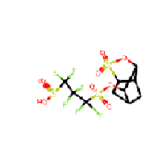 O=S1(=O)OC2C3CC(CC31)C2OS(=O)(=O)C(F)(F)C(F)(F)C(F)(F)S(=O)(=O)O